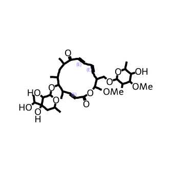 COC1C(OCC2/C=C/C=C/C(=O)C(C)CC(C)C(OC3OC(C)CC(O)(C(C)O)C3O)C(C)/C=C/C(=O)OC2C)OC(C)C(O)C1OC